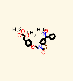 CO/N=C(\c1ccccc1)c1ccc2c(c1)sc(=O)n2CCOc1ccc(CC(OC)C(=O)OC)cc1